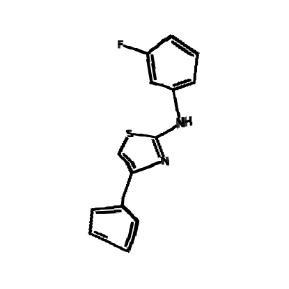 Fc1cccc(Nc2nc(-c3ccccc3)cs2)c1